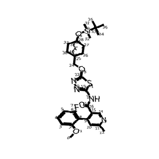 COc1cccc(F)c1-c1cc(C)ncc1C(=O)Nc1nnc(OCC23CCC(O[Si](C)(C)C(C)(C)C)(CC2)CC3)s1